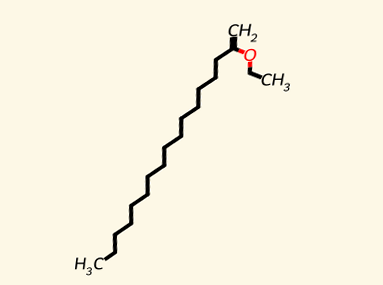 C=C(CCCCCCCCCCCCCCC)OCC